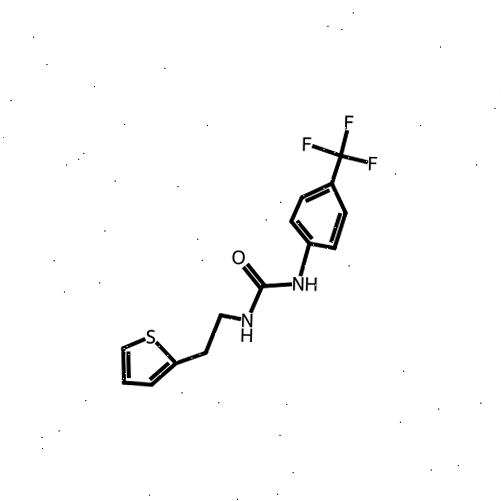 O=C(NCCc1cccs1)Nc1ccc(C(F)(F)F)cc1